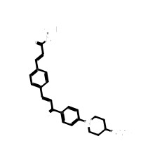 CNC1CCN(c2ccc(C(=O)C=Cc3ccc(C=CC(=O)NO)cc3)cc2)CC1